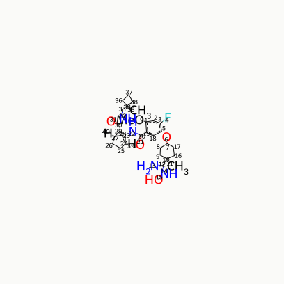 COc1cc(F)c(O[C@H]2CC[C@@](C)([C@H](N)NO)CC2)cc1C(=O)N[C@@H]1[C@H]2CC[C@H](C2)[C@@H]1C(=O)NCC1(C)CCC1